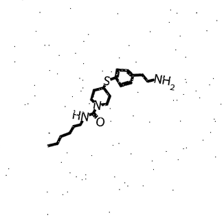 CCCCCCNC(=O)N1CCC(Sc2ccc(CCN)cc2)CC1